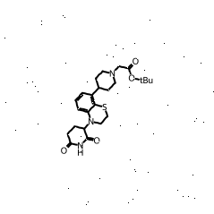 CC(C)(C)OC(=O)CN1CCC(c2cccc3c2SCCN3C2CCC(=O)NC2=O)CC1